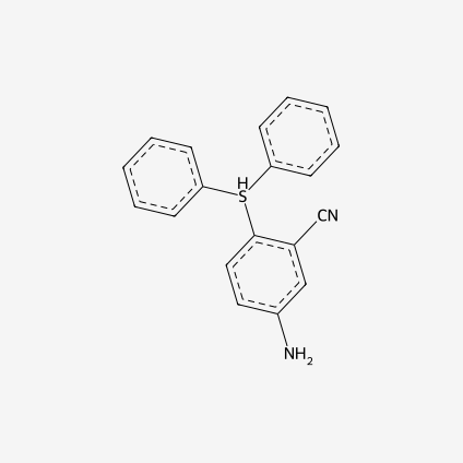 N#Cc1cc(N)ccc1[SH](c1ccccc1)c1ccccc1